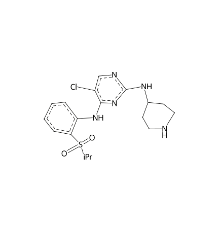 CC(C)S(=O)(=O)c1ccccc1Nc1nc(NC2CCNCC2)ncc1Cl